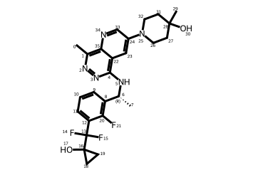 Cc1nnc(N[C@H](C)c2cccc(C(F)(F)C3(O)CC3)c2F)c2cc(N3CCC(C)(O)CC3)cnc12